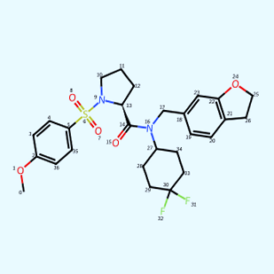 COc1ccc(S(=O)(=O)N2CCC[C@H]2C(=O)N(Cc2ccc3c(c2)OCC3)C2CCC(F)(F)CC2)cc1